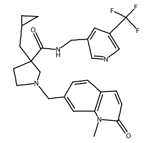 Cn1c(=O)ccc2ccc(CN3CCC(CC4CC4)(C(=O)NCc4cncc(C(F)(F)F)c4)C3)cc21